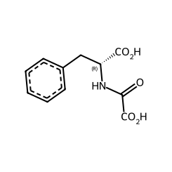 O=C(O)C(=O)N[C@H](Cc1ccccc1)C(=O)O